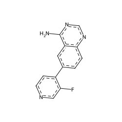 Nc1ncnc2ccc(-c3ccncc3F)cc12